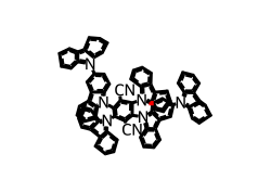 N#Cc1c(-n2c3ccccc3c3ccccc32)c(-n2c3ccccc3c3cc(-n4c5ccccc5c5ccccc54)ccc32)c(C#N)c(-n2c3ccccc3c3ccccc32)c1-n1c2ccccc2c2cc(-n3c4ccccc4c4ccccc43)ccc21